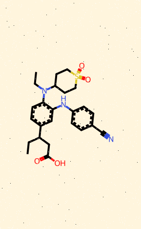 CCC(CC(=O)O)c1ccc(N(CC)C2CCS(=O)(=O)CC2)c(Nc2ccc(C#N)cc2)c1